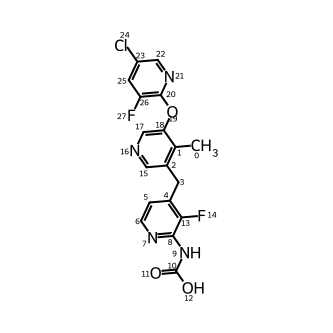 Cc1c(Cc2ccnc(NC(=O)O)c2F)cncc1Oc1ncc(Cl)cc1F